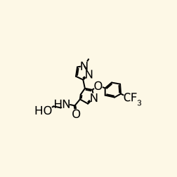 Cn1ccc(-c2cc(C(=O)NCCO)cnc2Oc2ccc(C(F)(F)F)cc2)n1